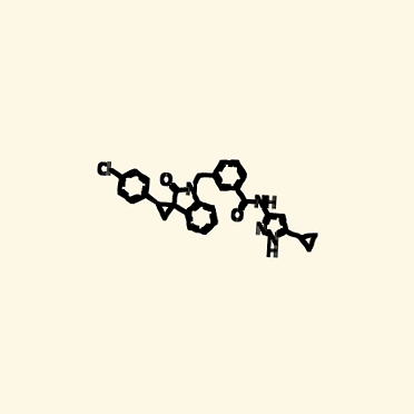 O=C(Nc1cc(C2CC2)[nH]n1)c1cccc(CN2C(=O)C3(C[C@H]3c3ccc(Cl)cc3)c3ccccc32)c1